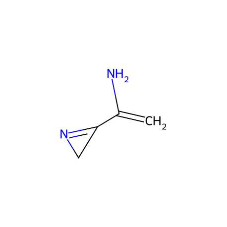 C=C(N)C1=NC1